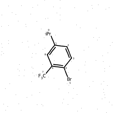 C[C](C)c1ccc(Br)c(C(F)(F)F)c1